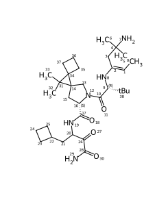 CC=C(CC(C)(C)N)N[C@@H](C(=O)N1CC2(C[C@H]1C(=O)NC(CC1CCC1)C(=O)C(N)=O)C(C)(C)C21CCC1)C(C)(C)C